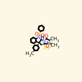 Cc1ccc([C@]23C[C@@]45SSSS[C@@](C)(C(=O)N4[C@H]2N(S(=O)(=O)c2ccccc2)c2ccccc23)N(C)C5=O)cc1